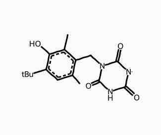 Cc1cc(C(C)(C)C)c(O)c(C)c1CN1C(=O)[N]C(=O)NC1=O